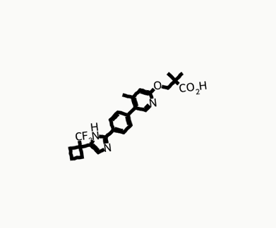 Cc1cc(OCC(C)(C)C(=O)O)ncc1-c1ccc(-c2ncc(C3(C(F)(F)F)CCC3)[nH]2)cc1